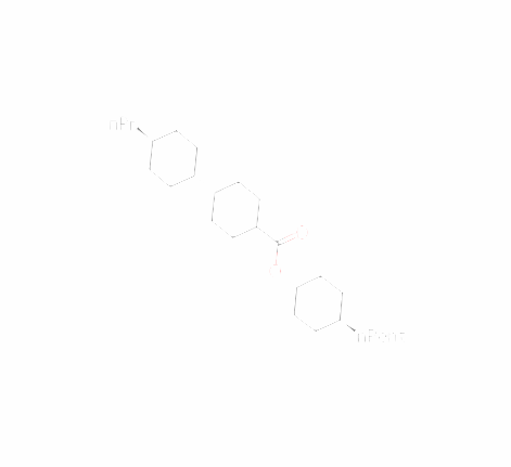 CCCCC[C@H]1CC[C@H](OC(=O)C2CCC([C@H]3CC[C@H](CCC)CC3)CC2)CC1